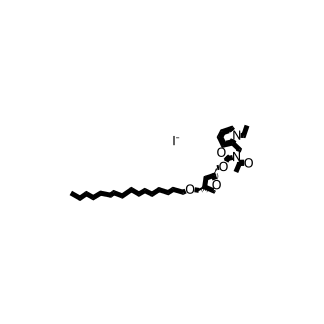 CCCCCCCCCCCCCCCCOC[C@@H]1CO[C@@H](COC(=O)N(Cc2cccc[n+]2CC)C(C)=O)C1.[I-]